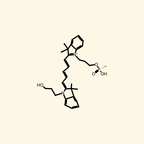 CC1(C)C(/C=C/C=C/C=C2/N(CCCO)c3ccccc3C2(C)C)=[N+](CCCO[P@](C)(=O)O)c2ccccc21